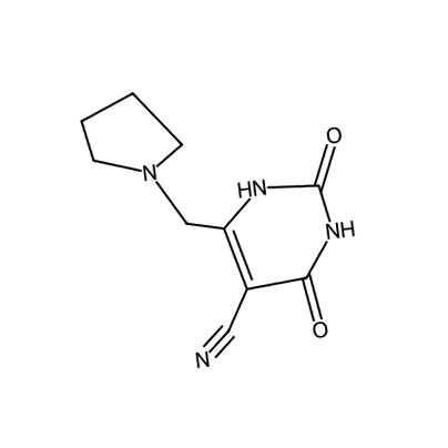 N#Cc1c(CN2CCCC2)[nH]c(=O)[nH]c1=O